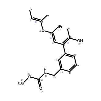 C/C=C(\C)O/C(=C/C(=C(\C)O)c1cccc(CNC(=O)OC(C)(C)C)c1)C(C)C